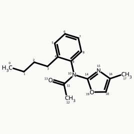 CCCCc1ccccc1N(C(C)=O)c1nc(C)co1